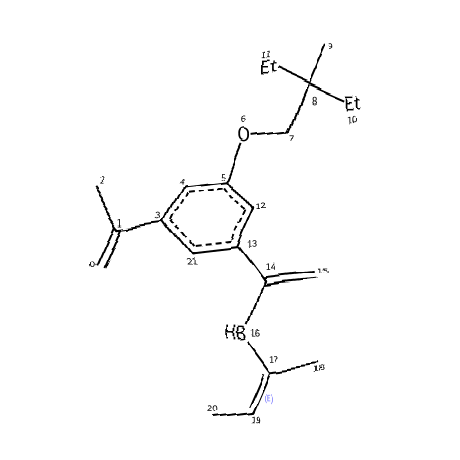 C=C(C)c1cc(OCC(C)(CC)CC)cc(C(=C)B/C(C)=C\C)c1